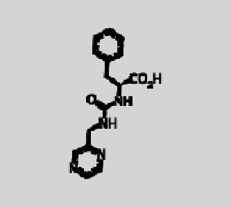 O=C(NCc1cnccn1)N[C@@H](Cc1ccccc1)C(=O)O